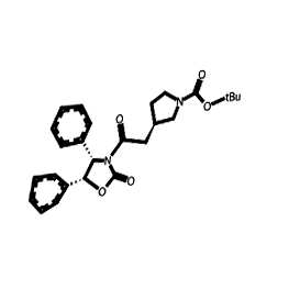 CC(C)(C)OC(=O)N1CC[C@H](CC(=O)N2C(=O)O[C@H](c3ccccc3)[C@@H]2c2ccccc2)C1